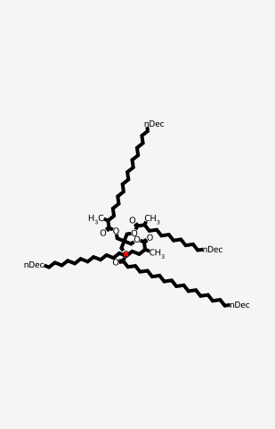 CCCCCCCCCCCCCCCCCCCCCCCCCCCC(=O)OCC(COC(=O)C(C)CCCCCCCCCCCCCCCCCCC)(COC(=O)C(C)CCCCCCCCCCCCCCCCCCCCCCCCC)COC(=O)C(C)CCCCCCCCCCCCCCCCCCCCCCCCC